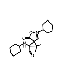 CC1(C)C(C=O)(NC2CCCCC2)C1(C=NC1CCCCC1)C(=O)O